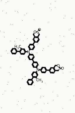 Cc1cc(N(c2ccc(-c3ccc(N(c4ccc(-c5ccc6c(c5)COS(=O)C6)cc4)c4ccc(-c5ccccc5)c(C)c4)cc3)cc2)c2ccc(-c3ccc4c(c3)COS(=O)C4)cc2)ccc1-c1ccccc1